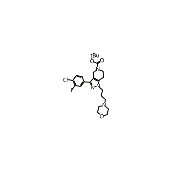 CC(C)(C)OC(=O)N1CCc2c(c(-c3ccc(Cl)c(I)c3)nn2CCCN2CCOCC2)C1